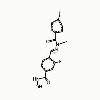 CN(/N=C/c1ccc(C(=O)NO)cc1F)C(=O)c1ccc(F)cc1